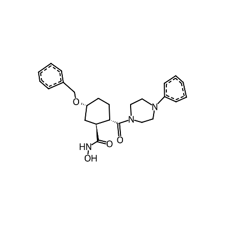 O=C(NO)[C@H]1C[C@H](OCc2ccccc2)CC[C@@H]1C(=O)N1CCN(c2ccccc2)CC1